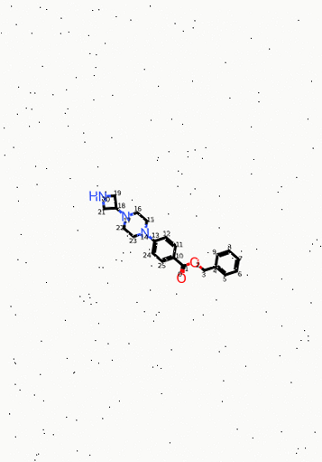 O=C(OCc1ccccc1)c1ccc(N2CCN(C3CNC3)CC2)cc1